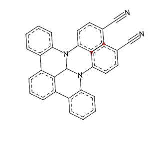 N#Cc1ccc(N2c3ccccc3-c3cccc4c3C2N(c2ccc(C#N)cc2)c2ccccc2-4)cc1